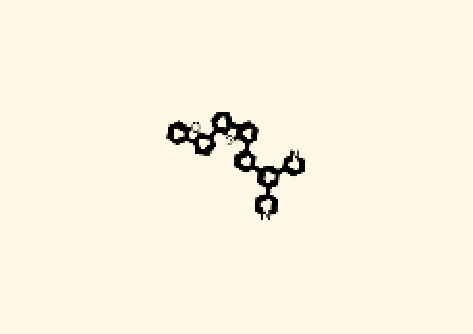 c1cncc(-c2cc(-c3ccncc3)cc(-c3cccc(-c4cccc5c4sc4c(-c6cccc7c6oc6ccccc67)cccc45)c3)c2)c1